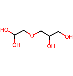 OCC(O)COCC(O)O